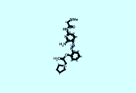 C=C(CN1CCCC1)Oc1ccccc1/N=N/c1ccc(NC(=O)CNC)nc1N